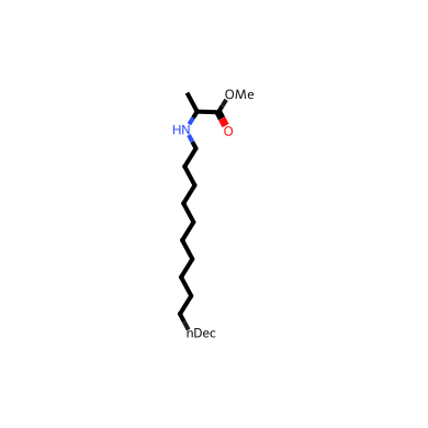 CCCCCCCCCCCCCCCCCCCCNC(C)C(=O)OC